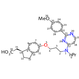 CCCN(CCCOc1ccc2c(c1)CC[C@H]2CC(=O)O)c1ccnc(-c2ccc(OC)cc2)n1